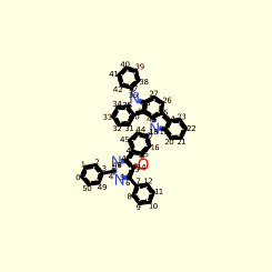 c1ccc(-c2nc(-c3ccccc3)c3oc4cc(-n5c6ccccc6c6ccc7c(c8ccccc8n7-c7ccccc7)c65)ccc4c3n2)cc1